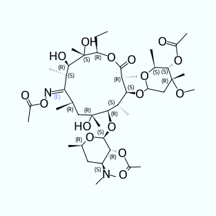 CC[C@H]1OC(=O)[C@H](C)[C@@H](OC2C[C@@](C)(OC)[C@@H](OC(C)=O)[C@H](C)O2)[C@H](C)[C@@H](O[C@@H]2O[C@H](C)C[C@H](N(C)C)[C@H]2OC(C)=O)[C@](C)(O)C[C@@H](C)/C(=N\OC(C)=O)[C@H](C)[C@@H](O)[C@]1(C)O